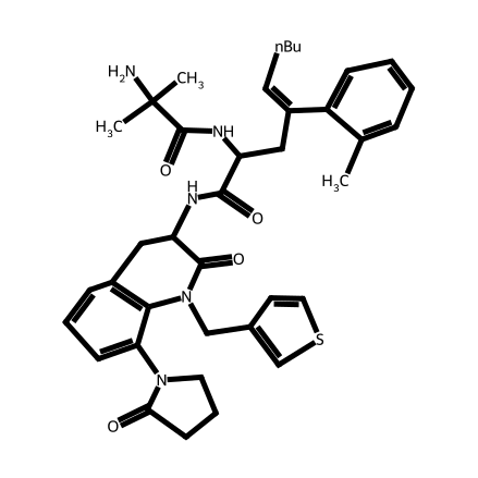 CCCC/C=C(/CC(NC(=O)C(C)(C)N)C(=O)NC1Cc2cccc(N3CCCC3=O)c2N(Cc2ccsc2)C1=O)c1ccccc1C